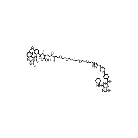 CN(Cc1cnc2nc(N)nc(N)c2n1)c1ccc(C(=O)N[C@@H](CCC(=O)NCCOCCOCCOCCOCCOCCn2cc(CN3CCN(C4=CC=C(Nc5nc(NC6CCCCC6)c6nc[nH]c6n5)CC4)CC3)nn2)C(=O)O)cc1